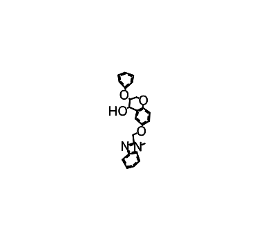 Cn1c(COc2ccc3c(c2)[C@@H](O)[C@@H](Oc2ccccc2)CO3)nc2ccccc21